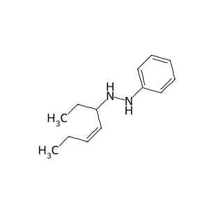 CC/C=C\C(CC)NNc1ccccc1